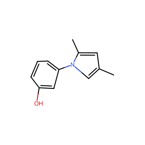 Cc1cc(C)n(-c2cccc(O)c2)c1